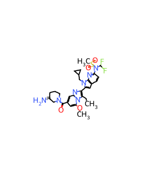 CCc1c(-c2cc3ccc(N(C(F)F)S(C)(=O)=O)nc3n2CC2CC2)nc2cc(C(=O)N3CCC[C@@H](N)C3)cc(OC)n12